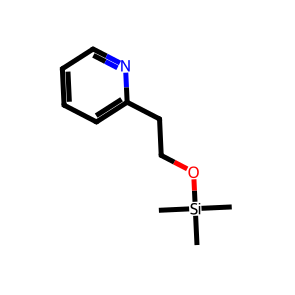 C[Si](C)(C)OCCc1ccccn1